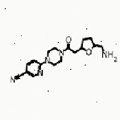 N#Cc1ccc(N2CCN(C(=O)CC3CCC(CN)O3)CC2)nc1